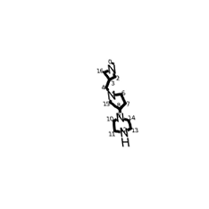 CN1CC(CN2CCC(N3CCNCC3)C2)C1